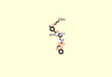 COCCCOc1cc(C(=O)N(C[C@@H]2CNC[C@H]2CN(C)C(=O)O[C@H]2COc3ccccc3O2)C(C)C)ccc1C